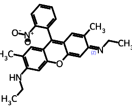 CC/N=c1/cc2oc3cc(NCC)c(C)cc3c(-c3ccccc3[N+](=O)[O-])c-2cc1C